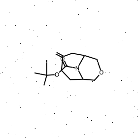 C=C1CCC2COCC(C1)N2C(=O)OC(C)(C)C